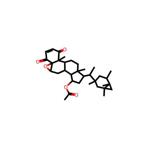 CC(=O)OC1CC(C(C)C2(C)CC(C)C3(C)CC3(C)C2)C2(C)CCC3C(CC4OC45C(=O)C=CC(=O)C35C)C12